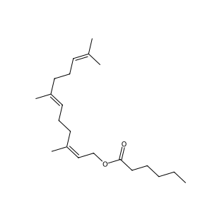 CCCCCC(=O)OC/C=C(/C)CC/C=C(\C)CCC=C(C)C